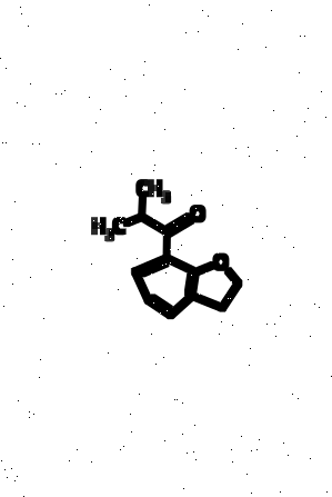 CC(C)C(=O)c1cccc2c1OCC2